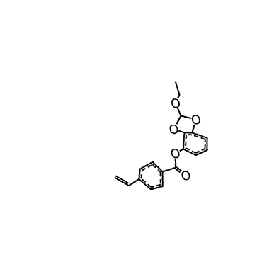 C=Cc1ccc(C(=O)Oc2cccc3c2OC(OCC)O3)cc1